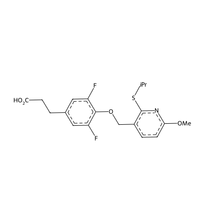 COc1ccc(COc2c(F)cc(CCC(=O)O)cc2F)c(SC(C)C)n1